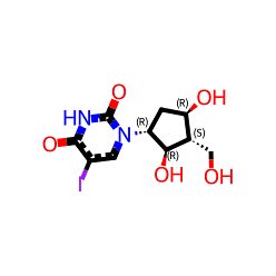 O=c1[nH]c(=O)n([C@@H]2C[C@@H](O)[C@H](CO)[C@H]2O)cc1I